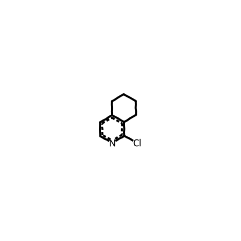 Clc1nccc2c1CCCC2